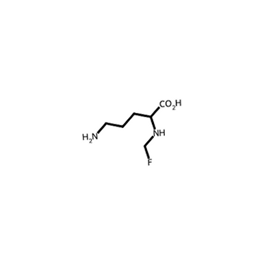 NCCCC(NCF)C(=O)O